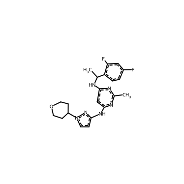 Cc1nc(Nc2ccn(C3CCOCC3)n2)cc(NC(C)c2ccc(F)cc2F)n1